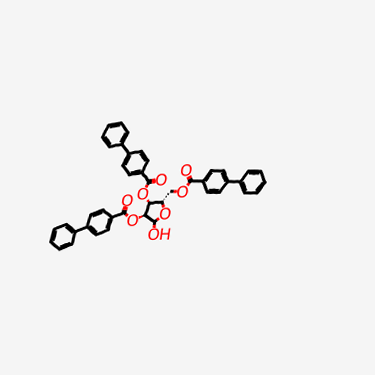 O=C(OC[C@@H]1OC(O)[C@@H](OC(=O)c2ccc(-c3ccccc3)cc2)[C@H]1OC(=O)c1ccc(-c2ccccc2)cc1)c1ccc(-c2ccccc2)cc1